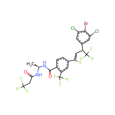 C[C@H](NC(=O)CC(F)(F)F)NC(=O)c1ccc(/C(F)=C/C(c2cc(Cl)c(Br)c(Cl)c2)C(F)(F)F)cc1C(F)(F)F